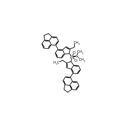 CCC1=Cc2c(-c3ccc4c5c(cccc35)CC4)cccc2[CH]1[Zr]([Cl])([Cl])([CH]1C(CC)=Cc2c(-c3ccc4c5c(cccc35)CC4)cccc21)=[Si](C)C